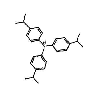 CC(C)c1ccc([SiH](c2ccc(C(C)C)cc2)c2ccc(C(C)C)cc2)cc1